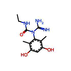 CCNC(=O)N(C(=N)N)c1c(C)c(O)cc(O)c1C